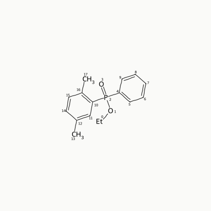 CCOP(=O)(c1ccccc1)c1cc(C)ccc1C